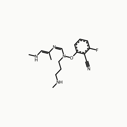 CN/C=C(C)/N=C\N(CCCNC)Oc1cccc(F)c1C#N